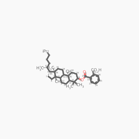 CC(C)CCC[C@@H](C)[C@H]1CC[C@@]2(C)C3CCC4C(C)(C)C(OC(=O)c5ccccc5C(=O)O)CC[C@]4(C)C3CC[C@]12C